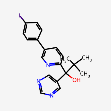 CC(C)(C)C(O)(c1cncnc1)c1ccc(-c2ccc(I)cc2)cn1